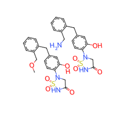 COCc1ccccc1Cc1ccc(N2CC(=O)NS2(=O)=O)c(O)c1.NCc1ccccc1Cc1ccc(N2CC(=O)NS2(=O)=O)c(O)c1